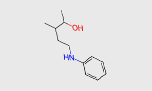 CC(O)C(C)CCNc1ccccc1